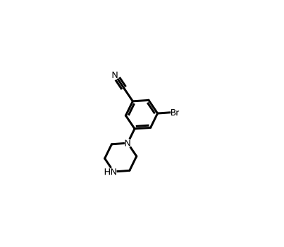 N#Cc1cc(Br)cc(N2CCNCC2)c1